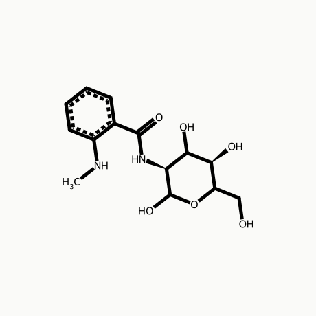 CNc1ccccc1C(=O)N[C@@H]1C(O)OC(CO)[C@H](O)C1O